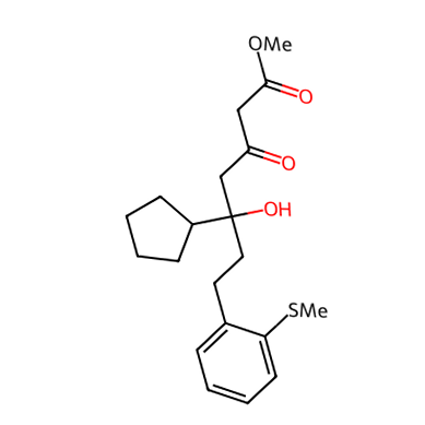 COC(=O)CC(=O)CC(O)(CCc1ccccc1SC)C1CCCC1